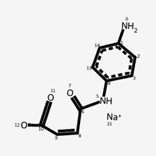 Nc1ccc(NC(=O)/C=C\C(=O)[O-])cc1.[Na+]